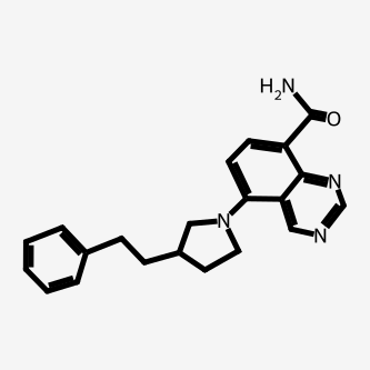 NC(=O)c1ccc(N2CCC(CCc3ccccc3)C2)c2cncnc12